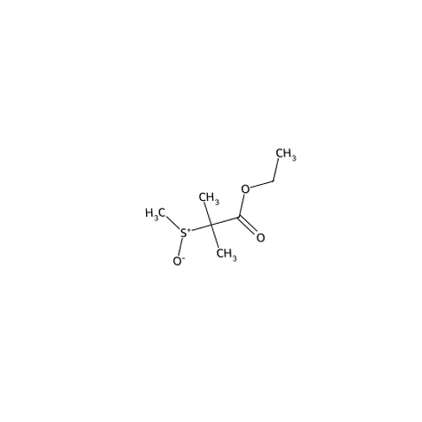 CCOC(=O)C(C)(C)[S+](C)[O-]